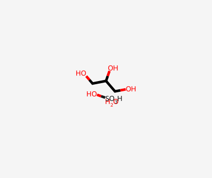 O.O=S(=O)(O)O.OCC(O)CO